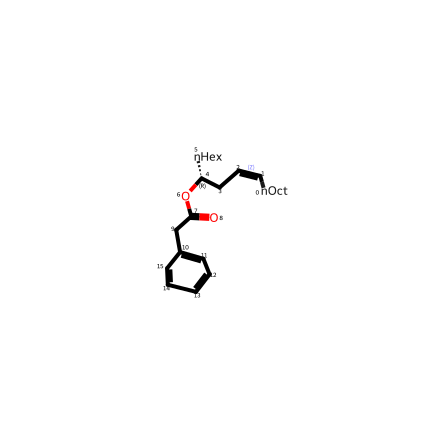 CCCCCCCC/C=C\C[C@@H](CCCCCC)OC(=O)Cc1ccccc1